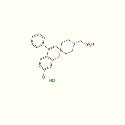 Cl.O=C(O)CN1CCC2(C=C(c3ccccc3)c3ccc(Cl)cc3O2)CC1